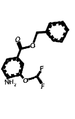 Nc1ccc(C(=O)OCc2ccccc2)cc1OC(F)F